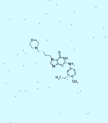 CCc1cc(Nc2nc3ncn(CCCCN4CCOCC4)c3c(=O)[nH]2)ccc1C